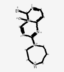 CCC1N=CC=C2N=C(N3CCCNCC3)N=C[N+]21[O-]